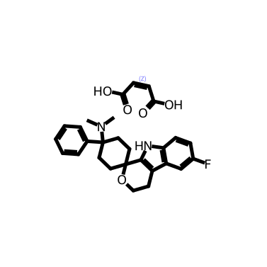 CN(C)C1(c2ccccc2)CCC2(CC1)OCCc1c2[nH]c2ccc(F)cc12.O=C(O)/C=C\C(=O)O